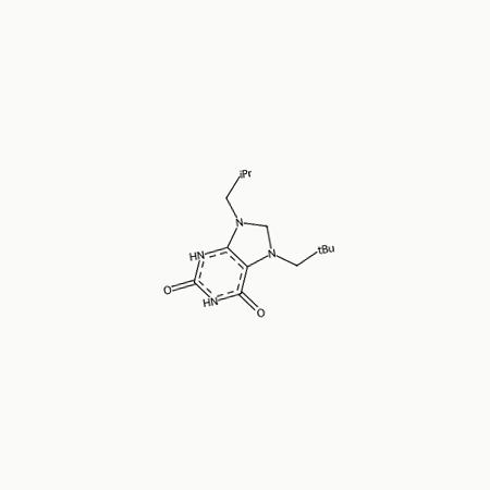 CC(C)CN1CN(CC(C)(C)C)c2c1[nH]c(=O)[nH]c2=O